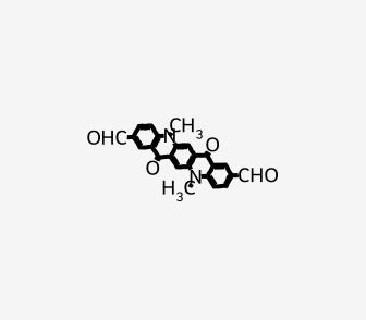 Cn1c2ccc(C=O)cc2c(=O)c2cc3c(cc21)c(=O)c1cc(C=O)ccc1n3C